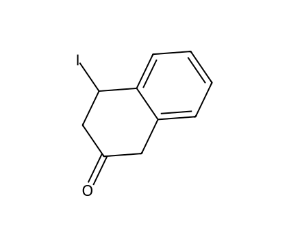 O=C1Cc2ccccc2C(I)C1